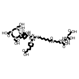 O=C(O)CCCC1CCN(c2nc(NCCCCCCCC(=O)NCCCC[C@H](NC(=O)N[C@@H](CCC(=O)O)C(=O)O)C(=O)O)nc(Nc3ccc(CC4CN(CC(=O)O)CCN(CC(=O)O)CCN(CC(O)O)CCN4CC(=O)O)cc3)n2)CC1